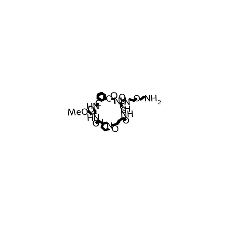 COCC[C@@H]1NC(=O)[C@@H]2CCCN(C2)C(=O)/C=C/C(=O)NCC[C@@H](C(=O)NCCOCCN)NC(=O)Cc2ccccc2CNC1=O